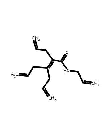 C=CCNC(=O)C(CC=C)=C(CC=C)CC=C